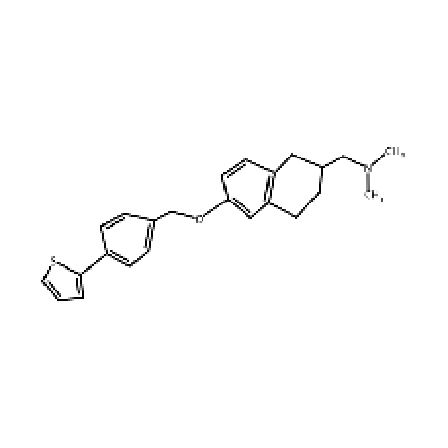 CN(C)CC1CCc2cc(OCc3ccc(-c4cccs4)cc3)ccc2C1